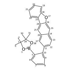 CC1(C)OB(c2ccccc2-c2ccc3cc4oc5ccccc5c4cc3c2)OC1(C)C